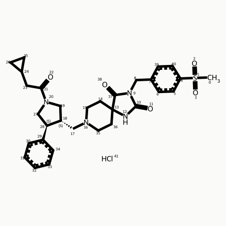 CS(=O)(=O)c1ccc(CN2C(=O)NC3(CCN(C[C@H]4CN(C(=O)CC5CC5)C[C@@H]4c4ccccc4)CC3)C2=O)cc1.Cl